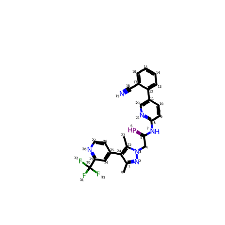 Cc1nn(CC(=P)Nc2ccc(-c3ccccc3C#N)cn2)c(C)c1-c1ccnc(C(F)(F)F)c1